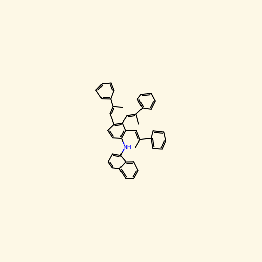 CC(=Cc1ccc(Nc2cccc3ccccc23)c(C=C(C)c2ccccc2)c1C=C(C)c1ccccc1)c1ccccc1